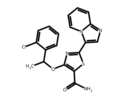 CC(Oc1nc(-c2cnc3ccccn23)sc1C(N)=O)c1ccccc1Cl